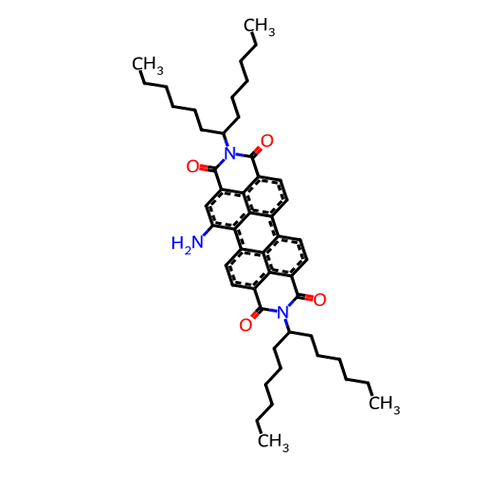 CCCCCCC(CCCCCC)N1C(=O)c2ccc3c4ccc5c6c(cc(N)c(c7ccc(c2c37)C1=O)c64)C(=O)N(C(CCCCCC)CCCCCC)C5=O